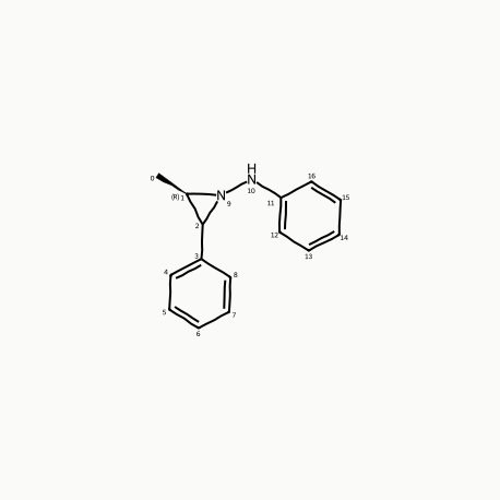 C[C@@H]1C(c2ccccc2)N1Nc1ccccc1